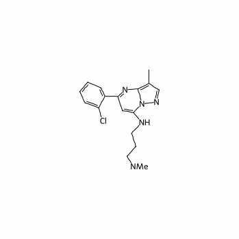 CNCCCNc1cc(-c2ccccc2Cl)nc2c(C)cnn12